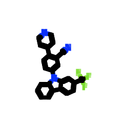 N#Cc1cc(-n2c3ccccc3c3ccc(C(F)(F)F)cc32)ccc1-c1ccncc1